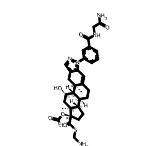 CCC(=O)O[C@]1(C(=O)SCN)CC[C@H]2[C@@H]3CCC4=Cc5c(cnn5-c5cccc(C(=O)NCC(N)=O)c5)C[C@]4(C)[C@H]3[C@@H](O)C[C@@]21C